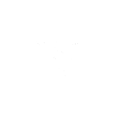 CCCCCCCCCCCCn1c(-c2cccc(N)c2)nc2cc(S(=O)(=O)O)ccc21